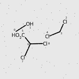 CO.ClCCl.O=C(O)C(Cl)Cl